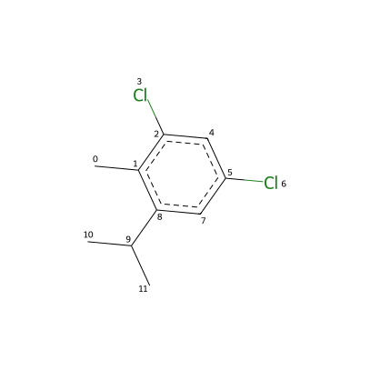 Cc1c(Cl)cc(Cl)cc1C(C)C